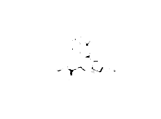 CCOC(=O)CC[C@H]1C[C@@H](O)CN1C(=O)OC(C)(C)C